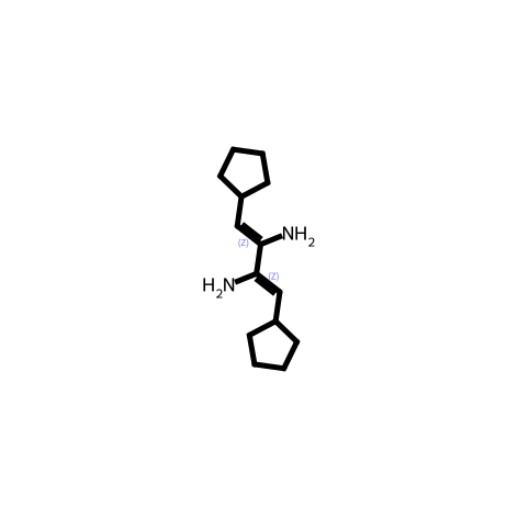 NC(=C\C1CCCC1)/C(N)=C/C1CCCC1